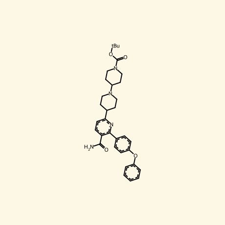 CC(C)(C)OC(=O)N1CCC(N2CCC(c3ccc(C(N)=O)c(-c4ccc(Oc5ccccc5)cc4)n3)CC2)CC1